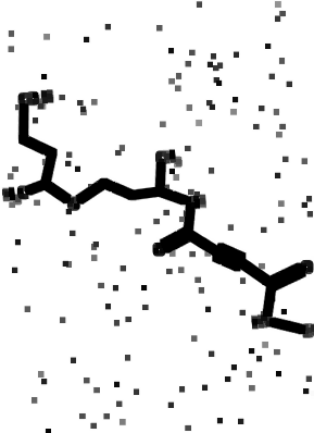 CCNC(=O)C#CC(=O)NC(C)CCOC(C)CCC(=O)O